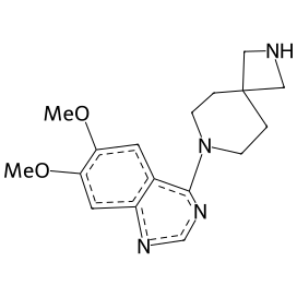 COc1cc2ncnc(N3CCC4(CC3)CNC4)c2cc1OC